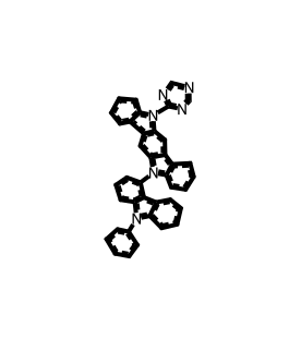 c1ccc(-n2c3ccccc3c3c(-n4c5ccccc5c5cc6c(cc54)c4ccccc4n6-c4ncncn4)cccc32)cc1